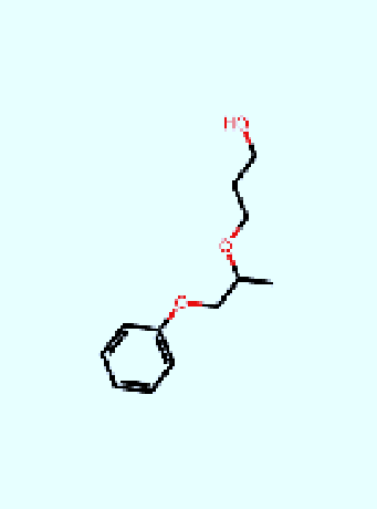 CC(COc1ccccc1)OCCCO